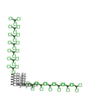 CCOC(C)=O.CCOC(C)=O.CCOC(C)=O.CCOC(C)=O.CCOC(C)=O.CCOC(C)=O.CCOC(C)=O.ClC(Cl)Cl.ClC(Cl)Cl.ClC(Cl)Cl.ClC(Cl)Cl.ClC(Cl)Cl.ClC(Cl)Cl.ClC(Cl)Cl.ClC(Cl)Cl.ClC(Cl)Cl.ClC(Cl)Cl.ClC(Cl)Cl.ClC(Cl)Cl.ClC(Cl)Cl